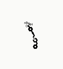 CCCCNC(=O)c1ccc(C#CCCN2CCC(Cc3ccccc3)CC2)cc1